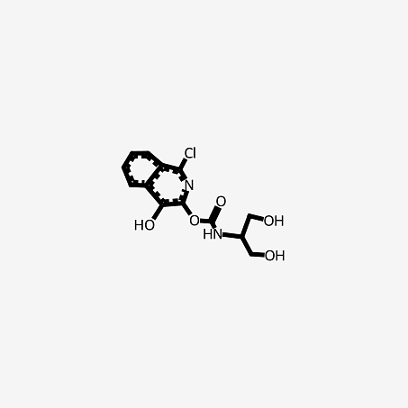 O=C(NC(CO)CO)Oc1nc(Cl)c2ccccc2c1O